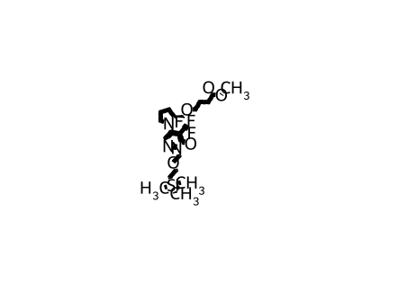 COC(=O)CCCOC[C@@H]1CCCN1c1cnn(COCC[Si](C)(C)C)c(=O)c1C(F)(F)F